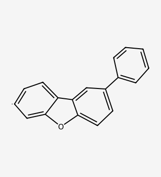 [c]1ccc2c(c1)oc1ccc(-c3ccccc3)cc12